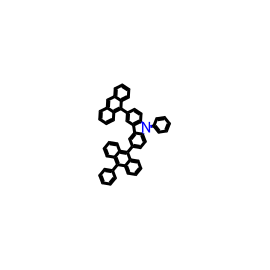 c1ccc(-c2c3ccccc3c(-c3ccc4c(c3)c3cc(-c5c6ccccc6cc6ccccc56)ccc3n4-c3ccccc3)c3ccccc23)cc1